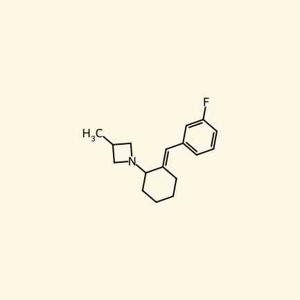 CC1CN(C2CCCCC2=Cc2cccc(F)c2)C1